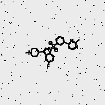 Cc1nccc(-c2cccc(S(=O)(=O)n3cc(C4=CCN(C)CC4)c4cc(F)ccc43)c2)n1